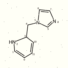 C1=CN[C](Cn2ccnc2)C=C1